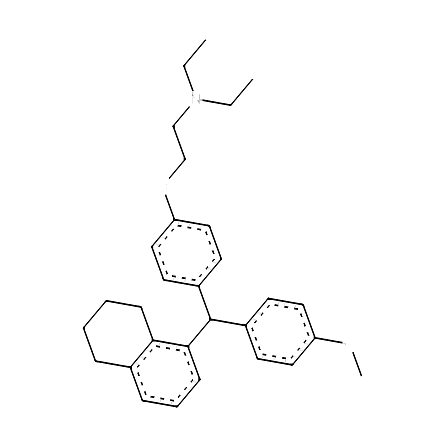 CCN(CC)CCOc1ccc(C(c2ccc(OC)cc2)c2cccc3c2CCCC3)cc1